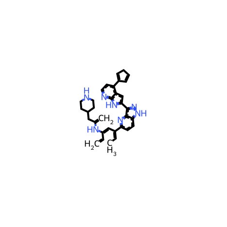 C=C/C(=C\C(=C/C)c1ccc2[nH]nc(-c3cc4c(C5=CCC=C5)ccnc4[nH]3)c2n1)NC(=C)CC1CCNCC1